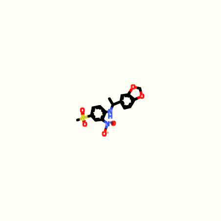 CC(Nc1ccc(S(C)(=O)=O)cc1[N+](=O)[O-])c1ccc2c(c1)OCO2